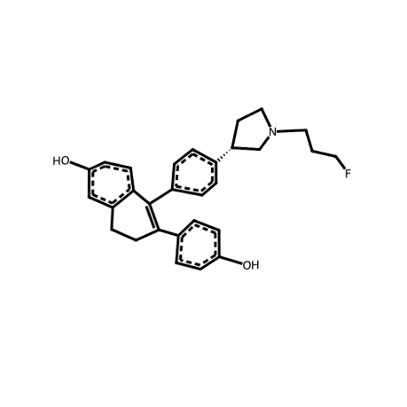 Oc1ccc(C2=C(c3ccc([C@@H]4CCN(CCCF)C4)cc3)c3ccc(O)cc3CC2)cc1